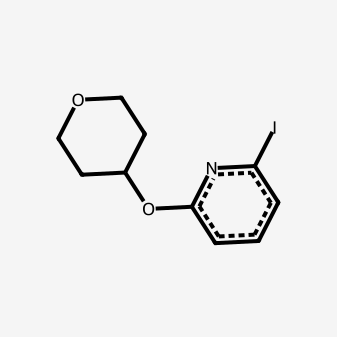 Ic1cccc(OC2CCOCC2)n1